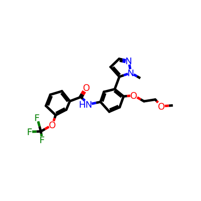 COCCOc1ccc(NC(=O)c2cccc(OC(F)(F)F)c2)cc1-c1ccnn1C